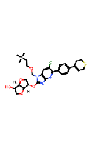 C[Si](C)(C)CCOCn1c(O[C@@H]2CO[C@H]3[C@@H]2OC[C@H]3O)nc2nc(-c3ccc(C4=CCSCC4)cc3)c(Cl)cc21